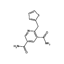 NC(=O)c1cnc(Cc2cccs2)c(C(N)=O)c1